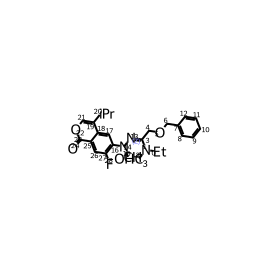 CCN(C=O)/C(COCc1ccccc1)=N\N(C)c1cc2c(C(C)C)coc(=O)c2cc1F